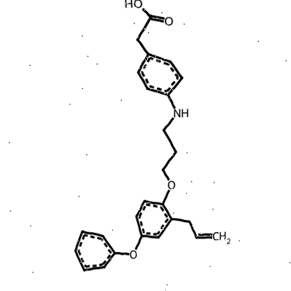 C=CCc1cc(Oc2ccccc2)ccc1OCCCNc1ccc(CC(=O)O)cc1